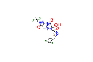 CN1C(=O)c2c(O)c(=O)c(-c3nnc(Cc4ccc(F)cc4F)s3)cn2N(C)C12CCC(C(=O)NCC(C)(F)F)CC2